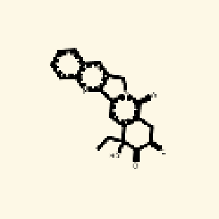 CCC1(O)C(=O)C(=O)Cc2c1cc1n(c2=O)Cc2cc3ccccc3nc2-1